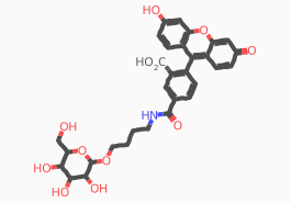 O=C(NCCCCOC1OC(CO)C(O)C(O)C1O)c1ccc(-c2c3ccc(=O)cc-3oc3cc(O)ccc23)c(C(=O)O)c1